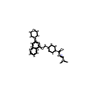 CN(C)/C=N/C(=O)[C@H]1CC[C@@H](COc2nc(N3CCOCC3)cc3ncccc23)CC1